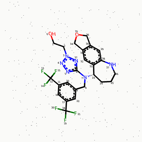 OCCn1nnc(N(Cc2cc(C(F)(F)F)cc(C(F)(F)F)c2)[C@H]2CCCNc3cc4c(cc32)COC4)n1